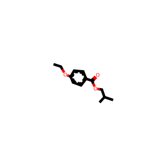 CCOc1ccc(C(=O)OCC(C)C)cc1